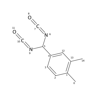 Cc1ccc(C(N=C=O)N=C=O)cc1C